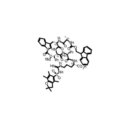 Cc1c(C)c(S(=O)(=O)NC(=N)NCCC[C@H](NC(=O)[C@@H](NC(=O)[C@H](CC(C)C)NC(=O)[C@H](Cc2cn(C(=O)OC(C)(C)C)c3ccccc23)NC(=O)[C@H](C)NC(=O)OCC2c3ccccc3-c3ccccc32)C(C)C)C(=O)O)c(C)c2c1OC(C)(C)C2